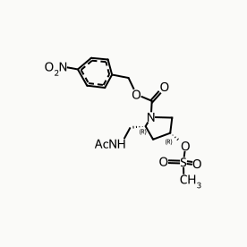 CC(=O)NC[C@H]1C[C@@H](OS(C)(=O)=O)CN1C(=O)OCc1ccc([N+](=O)[O-])cc1